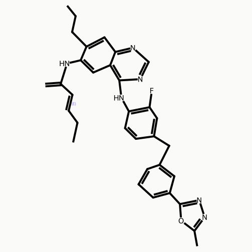 C=C(/C=C/CC)Nc1cc2c(Nc3ccc(Cc4cccc(-c5nnc(C)o5)c4)cc3F)ncnc2cc1CCC